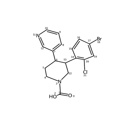 O=C(O)N1CCC(c2cccnc2)C(c2ccc(Br)cc2Cl)C1